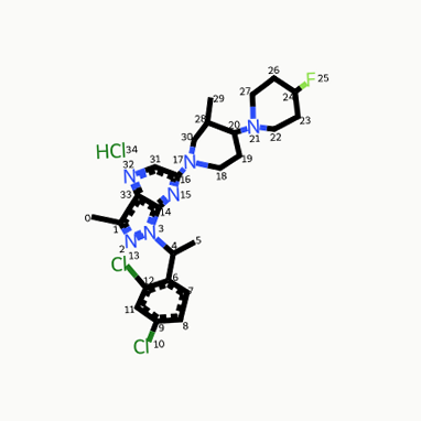 Cc1nn(C(C)c2ccc(Cl)cc2Cl)c2nc(N3CCC(N4CCC(F)CC4)C(C)C3)cnc12.Cl